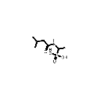 CC(C)CC(=O)NC(C)P(=O)(O)O